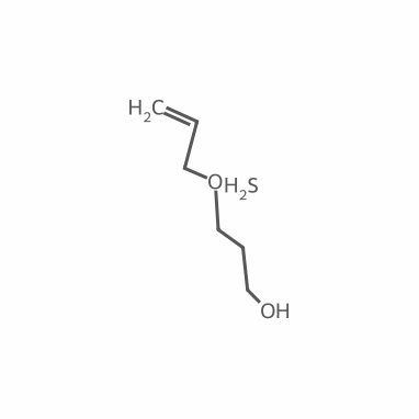 C=CCOCCCO.S